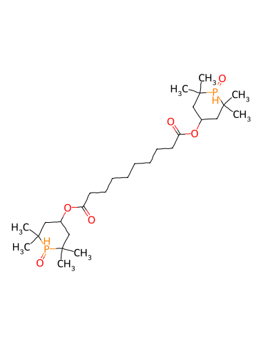 CC1(C)CC(OC(=O)CCCCCCCCC(=O)OC2CC(C)(C)[PH](=O)C(C)(C)C2)CC(C)(C)[PH]1=O